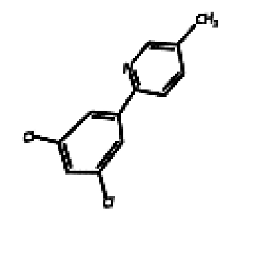 Cc1ccc(-c2cc(Cl)cc(Cl)c2)nc1